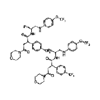 CC(C)[C@@H](CNc1ccc(OC(F)(F)F)cc1)NC(=O)C(CC(=O)N1CCOCC1)c1ccc(C(F)(F)F)cc1.CC(C)[C@@H](CNc1ccc(OC(F)(F)F)cc1)NC(=O)[C@H](CC(=O)N1CCOCC1)c1ccc(C(F)(F)F)cc1